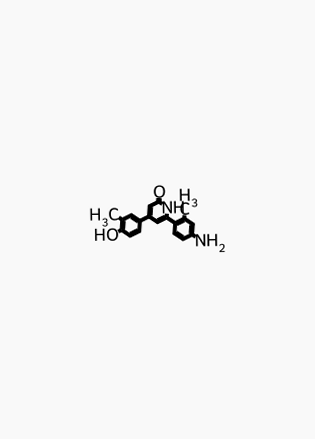 Cc1cc(-c2cc(-c3ccc(N)cc3C)[nH]c(=O)c2)ccc1O